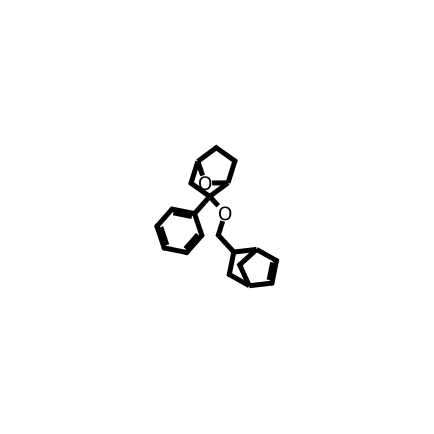 C1=CC2CC1CC2COC1(c2ccccc2)CC2CCC1O2